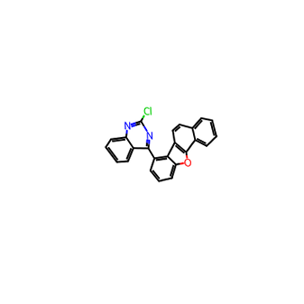 Clc1nc(-c2cccc3oc4c5ccccc5ccc4c23)c2ccccc2n1